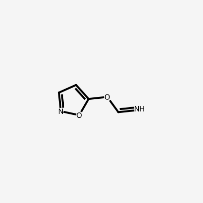 N=COc1ccno1